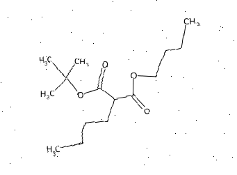 CCCCOC(=O)C(CCCC)C(=O)OC(C)(C)C